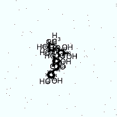 C[C@@H]1OC(OC2C(c3c(O)cc4oc(-c5ccc(O)c(O)c5)cc(=O)c4c3O)OC(CO)C(O)C2O)C(O)C(O)C1O